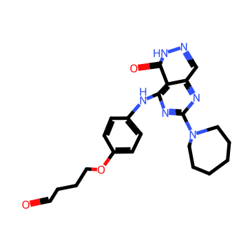 O=CCCCOc1ccc(Nc2nc(N3CCCCCC3)nc3cn[nH]c(=O)c23)cc1